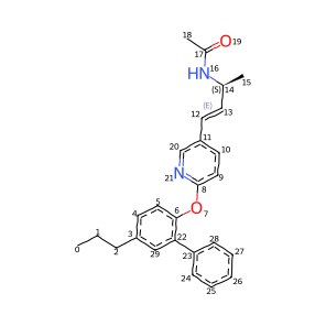 CCCc1ccc(Oc2ccc(/C=C/[C@H](C)NC(C)=O)cn2)c(-c2ccccc2)c1